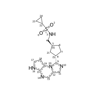 O=S(=O)(NC[C@H]1CC[C@H](c2ncc3cnc4[nH]ccc4n23)C1)C1CC1